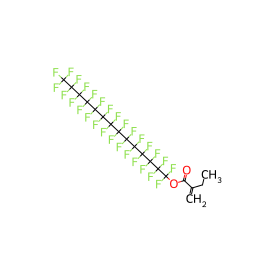 C=C(CC)C(=O)OC(F)(F)C(F)(F)C(F)(F)C(F)(F)C(F)(F)C(F)(F)C(F)(F)C(F)(F)C(F)(F)C(F)(F)C(F)(F)C(F)(F)C(F)(F)C(F)(F)F